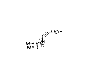 COc1cc2ncnc(Oc3ccc(OCCCOc4ccc(F)cc4)cc3)c2cc1OC